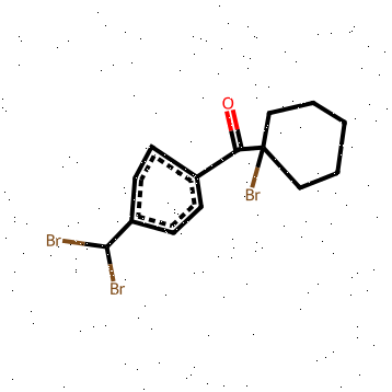 O=C(c1ccc(C(Br)Br)cc1)C1(Br)CCCCC1